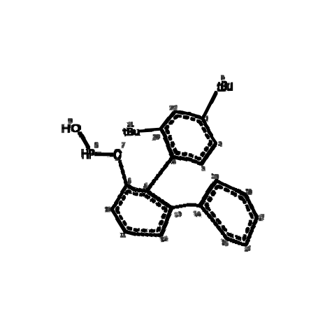 CC(C)(C)c1ccc(-c2c(OPO)cccc2-c2ccccc2)c(C(C)(C)C)c1